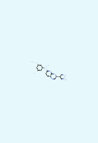 CCCN(c1cc(OC)cc(OC)c1)c1ccc2ncc(-c3cnn(C)c3)nc2n1